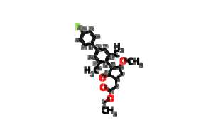 CCOC(=O)CC1CC(OC)=C(c2c(C)cc(-c3ccc(F)cc3)cc2C)C1=O